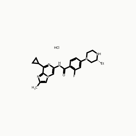 CC[C@@H]1CN(c2ccc(C(=O)Nc3cn4cc(C)nc4c(C4CC4)n3)c(F)c2)CCN1.Cl